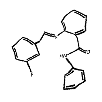 O=C(Nc1ccccc1)c1ccccc1/N=C/c1cccc(F)c1